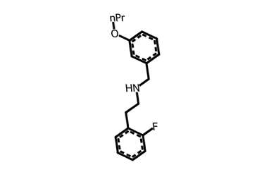 CCCOc1cccc(CNCCc2ccccc2F)c1